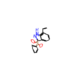 C=Cc1cccc2c(S(=O)(=O)c3ccccc3)n[nH]c12